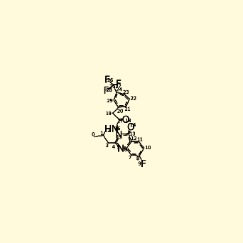 CC(C)Cc1nc2cc(F)ccc2c(=O)n1NC(=O)Cc1cccc(C(F)(F)F)c1